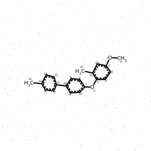 COc1ccc(Oc2ccc(-c3ccc(C)cc3)cc2)c(C)c1